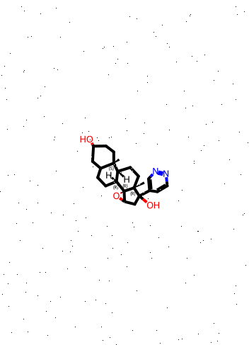 C[C@]12CCC(O)CC1CC[C@@H]1[C@H]2CC[C@]2(C)C(O)(c3ccnnc3)CC3O[C@]312